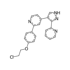 ClCCOc1ccc(-c2cc(-c3c[nH]nc3-c3ccccn3)ccn2)cc1